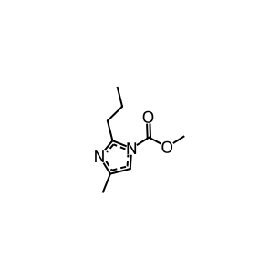 CCCc1nc(C)cn1C(=O)OC